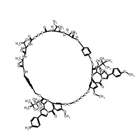 COc1ccc(C2=CN3C(=O)c4cc(OC)c5cc4N(C(=O)OCc4ccc(cc4)NC(=O)[C@H](C)NC(=O)[C@H](C(C)C)NC(=O)COCC(=O)N[C@@H](C(C)C)C(=O)N[C@@H](C)C(=O)Nc4ccc(cc4)COC(=O)N4c6cc(c(OC)cc6C(=O)N6C=C(c7ccc(N)cc7)C[C@H]6C4O[Si](C)(C)C(C)(C)C)OCCCCCO5)C(O[Si](C)(C)C(C)(C)C)[C@@H]3C2)cc1